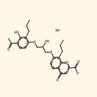 CCCc1c(OCC(O)COc2ccc3c(=O)cc(C(=O)[O-])oc3c2CCC)ccc(C(C)=O)c1O.[Na+]